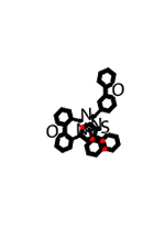 c1ccc(-c2nc(-c3ccc4oc5ccccc5c4c3)nc(-c3cccc4oc5cccc(-c6ccc7sc8ccccc8c7c6)c5c34)n2)cc1